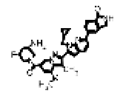 COc1cc(C(=O)N2C[C@H](N)C[C@@H](F)C2)cn2nc(-c3cc4ccc(-c5ccc6c(c5)CNC6=O)nc4n3CC3CC3)c(C)c12